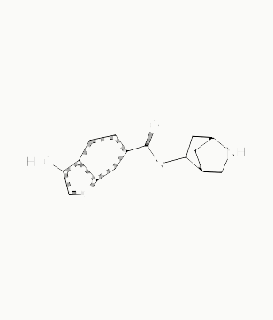 Cc1coc2cc(C(=O)NC3CC4CC3CN4)ccc12